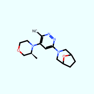 C[C@H]1COCCN1c1cc(N2CC3CCC(C2)O3)nnc1C#N